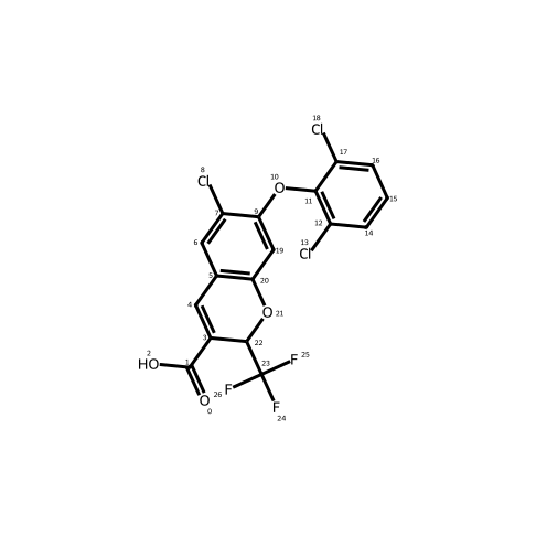 O=C(O)C1=Cc2cc(Cl)c(Oc3c(Cl)cccc3Cl)cc2OC1C(F)(F)F